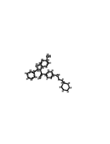 O=C(c1ccc(OCCN2CCCCC2)cc1)c1c(-c2ccccc2)oc2cc(O)ccc12